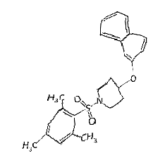 Cc1cc(C)c(S(=O)(=O)N2CCC(Oc3ccc4ccccc4c3)CC2)c(C)c1